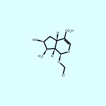 C[C@@H]1[C@H]2[C@H](OCCl)OC=C(C(=O)O)[C@H]2C[C@@H]1O